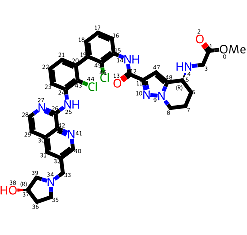 COC(=O)CN[C@@H]1CCCn2nc(C(=O)Nc3cccc(-c4cccc(Nc5nccc6cc(CN7CC[C@@H](O)C7)cnc56)c4Cl)c3Cl)cc21